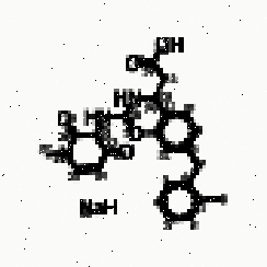 Cc1ccccc1Cc1ccc([C@H](CC(=O)O)NC(=O)NC2C(=O)C=CN(C)C2=O)cc1.[NaH]